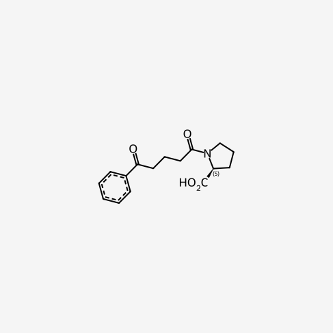 O=C(CCCC(=O)N1CCC[C@H]1C(=O)O)c1ccccc1